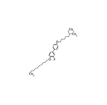 CCCCCCCCCCOc1ccc(-c2ccc(OCCCCCC(C)CC)cc2)cc1F